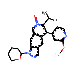 COc1cc(-c2c(C(C)C)[n+](=O)cc3cc4c(c[nH]n4C4CCCCO4)cc23)ccn1